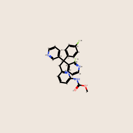 COC(=O)Nc1cccc(CC(c2ccc(F)cc2)(c2cccnc2)c2cccnc2F)n1